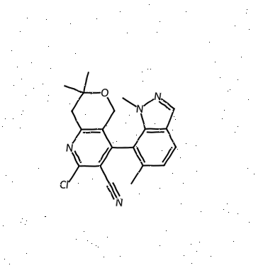 Cc1ccc2cnn(C)c2c1-c1c(C#N)c(Cl)nc2c1COC(C)(C)C2